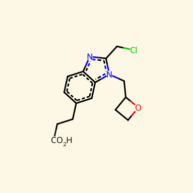 O=C(O)CCc1ccc2nc(CCl)n(CC3CCO3)c2c1